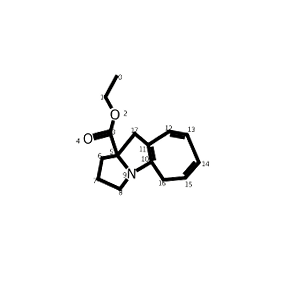 CCOC(=O)C12CCCN1C1=C(C=CC=CC1)C2